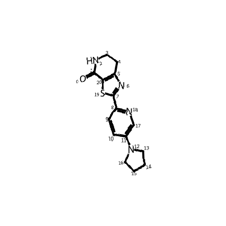 O=C1NCCc2nc(-c3ccc(N4CCCC4)cn3)sc21